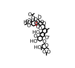 COc1c2c(c(O)c3c4c(c(C)cc13)C1OC3(C(OC)OC)OC1[C@@](OC1CC(OC(C)=O)C(O)([C@@H](C)OC(C)=O)C(C)O1)(O4)[C@@]31CO1)C(=O)[C@@H](O)C[C@@H]2OC1CC(C)(O)C(OC(C)=O)C(C)O1